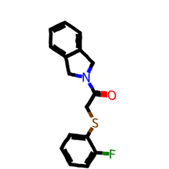 O=C(CSc1ccccc1F)N1Cc2ccccc2C1